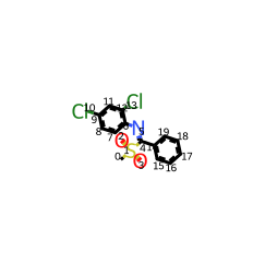 CS(=O)(=O)C(=Nc1ccc(Cl)cc1Cl)c1ccccc1